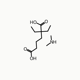 CCC(CC)(CCCC(=O)O)C(=O)O.CNC